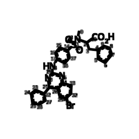 CN(C(Cc1ccccc1)C(=O)O)S(=O)(=O)c1ccc(Nc2nc(-c3ccccc3)c3cc(Br)ccc3n2)cc1